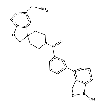 NCc1ccc2c(c1)C1(CCN(C(=O)c3cccc(-c4cccc5c4COB5O)c3)CC1)CO2